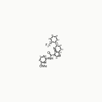 COc1ccnc(NC(=O)c2cnc3ccc(-c4ccccc4C(F)(F)F)nn23)n1